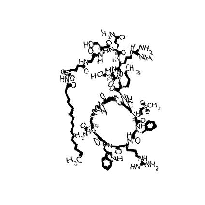 CCCCCCCCCCCCCCCC(=O)NS(=O)(=O)CCCC(=O)NCC(=O)N[C@@H](CO)C(=O)N[C@@H](CCC(N)=O)C(=O)N[C@@H](CCCNC(=N)N)C(=O)N[C@@H](CO)C(=O)N[C@@H](CCCC)C(=O)N[C@H]1CCC(=O)NCCCC[C@@H](C(N)=O)NC(=O)[C@H](Cc2c[nH]c3ccccc23)NC(=O)[C@H](CCCNC(=N)N)NC(=O)[C@@H](Cc2ccccc2)NC(=O)[C@H](CCS(C)(=O)=O)NC1=O